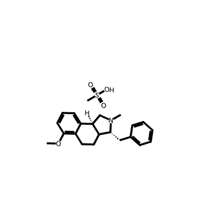 COc1cccc2c1CCC1[C@@H]2CN(C)[C@@H]1Cc1ccccc1.CS(=O)(=O)O